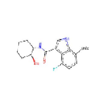 COc1ccc(F)c2c(C(=O)N[C@H]3CCCC[C@@H]3O)c[nH]c12